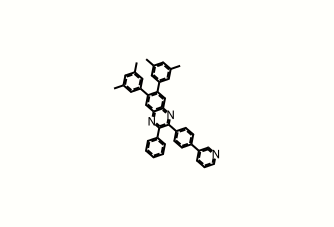 Cc1cc(C)cc(-c2cc3nc(-c4ccccc4)c(-c4ccc(-c5cccnc5)cc4)nc3cc2-c2cc(C)cc(C)c2)c1